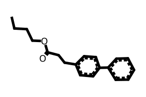 CCCCOC(=O)CCc1ccc(-c2ccccc2)cc1